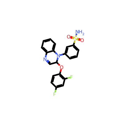 NS(=O)(=O)c1cccc(N2c3ccccc3N=CC2Oc2ccc(F)cc2F)c1